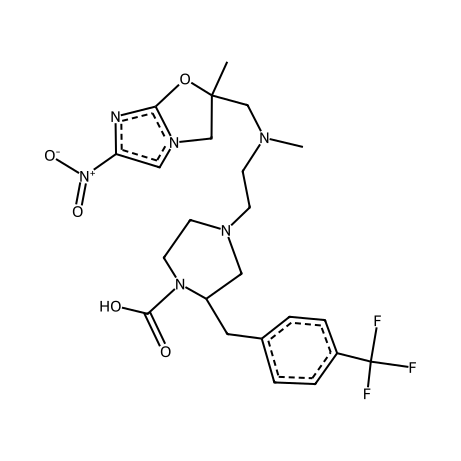 CN(CCN1CCN(C(=O)O)C(Cc2ccc(C(F)(F)F)cc2)C1)CC1(C)Cn2cc([N+](=O)[O-])nc2O1